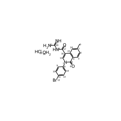 Cc1ccc2c(=O)n(-c3ccc(Br)cc3)cc(C(=O)NC(=N)N)c2c1.Cl.O